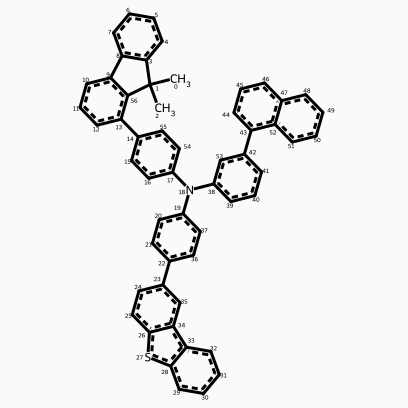 CC1(C)c2ccccc2-c2cccc(-c3ccc(N(c4ccc(-c5ccc6sc7ccccc7c6c5)cc4)c4cccc(-c5cccc6ccccc56)c4)cc3)c21